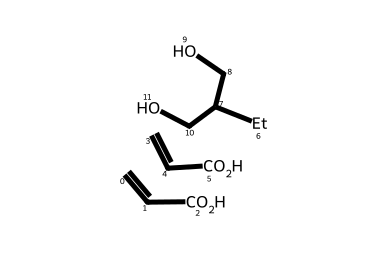 C=CC(=O)O.C=CC(=O)O.CCC(CO)CO